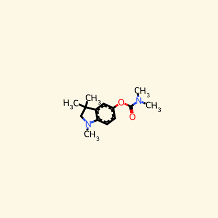 CN(C)C(=O)Oc1ccc2c(c1)C(C)(C)CN2C